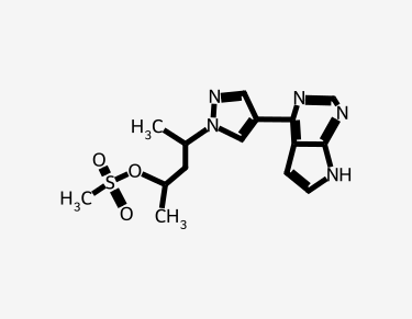 CC(CC(C)n1cc(-c2ncnc3[nH]ccc23)cn1)OS(C)(=O)=O